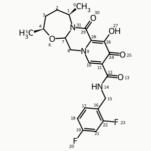 C[C@@H]1CC[C@H](C)OC2Cn3cc(C(=O)NCc4ccc(F)cc4F)c(=O)c(O)c3C(=O)N21